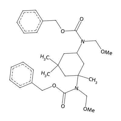 COCN(C(=O)OCc1ccccc1)C1CC(C)(C)CC(C)(N(COC)C(=O)OCc2ccccc2)C1